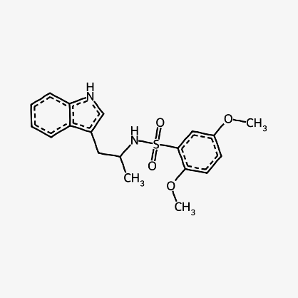 COc1ccc(OC)c(S(=O)(=O)NC(C)Cc2c[nH]c3ccccc23)c1